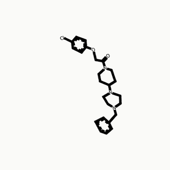 O=C(COc1ccc(Cl)cc1)N1CCC(N2CCN(Cc3ccccc3)CC2)CC1